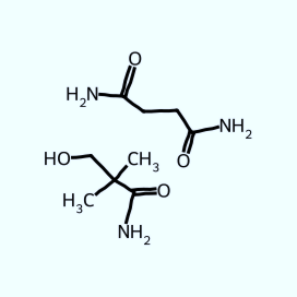 CC(C)(CO)C(N)=O.NC(=O)CCC(N)=O